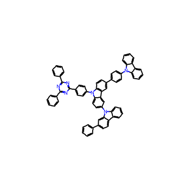 c1ccc(-c2ccc3c4ccccc4n(-c4ccc5c(c4)c4cc(-c6ccc(-n7c8ccccc8c8ccccc87)cc6)ccc4n5-c4ccc(-c5nc(-c6ccccc6)nc(-c6ccccc6)n5)cc4)c3c2)cc1